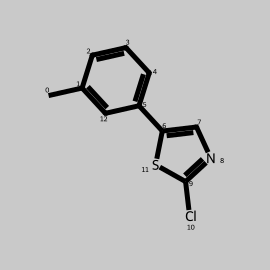 Cc1cccc(-c2cnc(Cl)s2)c1